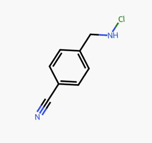 N#Cc1ccc(CNCl)cc1